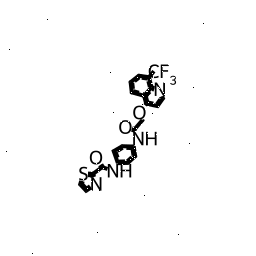 O=C(COc1ccnc2c(C(F)(F)F)cccc12)Nc1ccc(NC(=O)c2nccs2)cc1